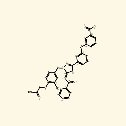 O=C(O)COc1ccc(Cn2nc(-c3cccc(Oc4cccc(C(=O)O)c4)c3)sc2=NC(=O)c2ccncc2)cc1Br